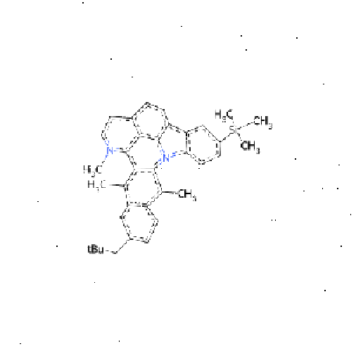 Cc1c2cc(CC(C)(C)C)ccc2c(C)c2c1c1c3c(ccc4c5cc([Si](C)(C)C)ccc5n2c43)cc[n+]1C